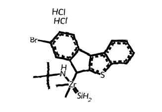 CC(C)(C)[NH][Zr]([CH3])([CH3])(=[SiH2])[CH]1c2cc(Br)ccc2-c2c1sc1ccccc21.Cl.Cl